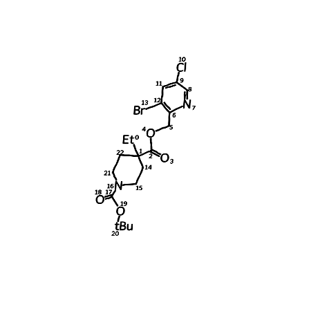 CCC1(C(=O)OCc2ncc(Cl)cc2Br)CCN(C(=O)OC(C)(C)C)CC1